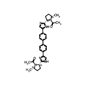 CC(=O)N1[C@@H](C)CC[C@H]1c1nc(-c2ccc(-c3ccc(-c4cnc([C@@H]5CC[C@H](C)N5C(C)=O)[nH]4)cc3)cc2)c[nH]1